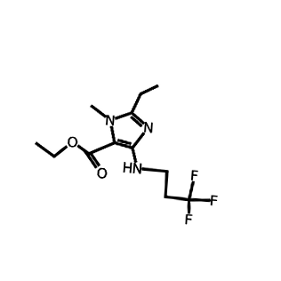 CCOC(=O)c1c(NCCC(F)(F)F)nc(CC)n1C